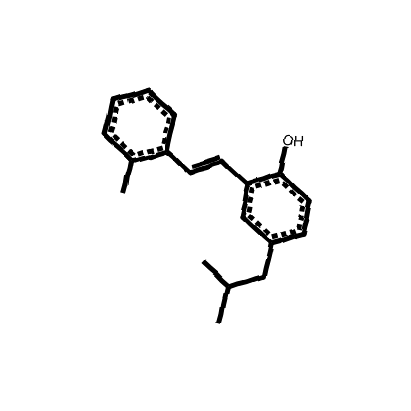 Cc1ccccc1/C=C/c1cc(CC(C)C)ccc1O